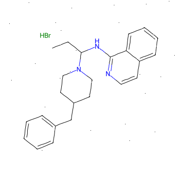 Br.CCC(Nc1nccc2ccccc12)N1CCC(Cc2ccccc2)CC1